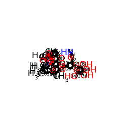 COC(=O)/C(C)=C\CC12OC(C)(C)C3CC(C=C4C(=O)c5c(OC(=O)c6ccc(O[C@@H]7O[C@H](CO)[C@@H](O)[C@H](O)[C@H]7O)c(COC=N)c6)c6c(c(CC=C(C)C)c5OC431)OC(C)(CCC=C(C)C)C=C6)C2=O